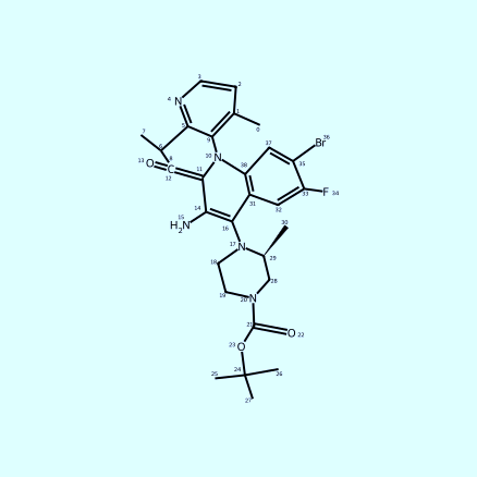 Cc1ccnc(C(C)C)c1N1C(=C=O)C(N)=C(N2CCN(C(=O)OC(C)(C)C)C[C@@H]2C)c2cc(F)c(Br)cc21